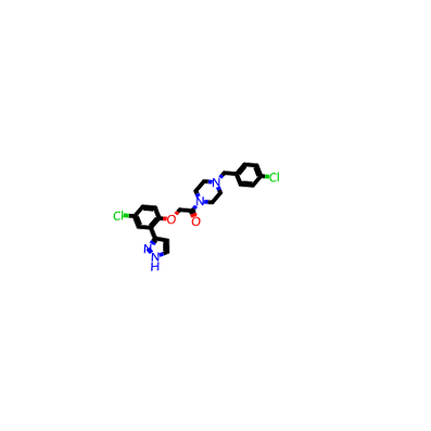 O=C(COc1ccc(Cl)cc1-c1cc[nH]n1)N1CCN(Cc2ccc(Cl)cc2)CC1